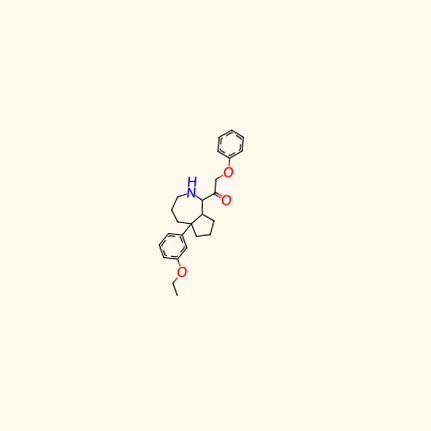 CCOc1cccc(C23CCCNC(C(=O)COc4ccccc4)C2CCC3)c1